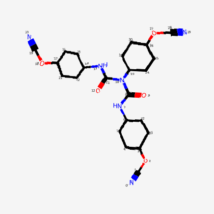 N#COC1CCC(NC(=O)N(C(=O)NC2CCC(OC#N)CC2)C2CCC(OC#N)CC2)CC1